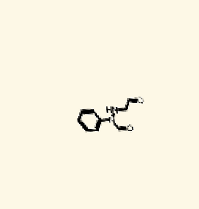 O=CCNN(C=O)c1ccccc1